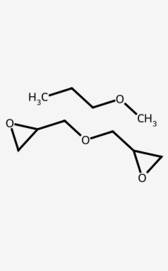 C(OCC1CO1)C1CO1.CCCOC